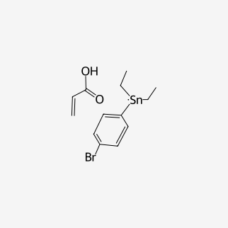 C=CC(=O)O.C[CH2][Sn]([CH2]C)[c]1ccc(Br)cc1